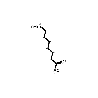 CCCCCCCCCCCCC(=O)C(C)=O